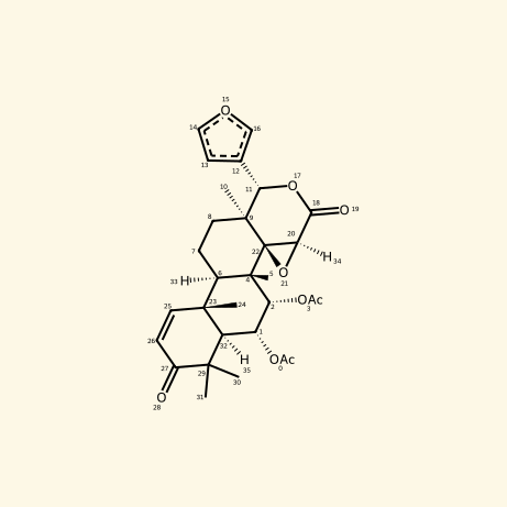 CC(=O)O[C@H]1[C@@H](OC(C)=O)[C@]2(C)[C@H](CC[C@@]3(C)[C@H](c4ccoc4)OC(=O)[C@H]4O[C@@]423)[C@@]2(C)C=CC(=O)C(C)(C)[C@H]12